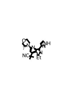 CCn1nc(-c2cc[nH]n2)c2nc(N3CCOC[C@H]3C)cc(C(C)(C)C#N)c21